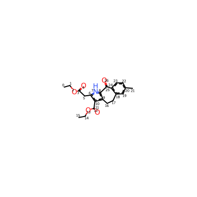 CCOC(=O)Cc1[nH]c2c(c1C(=O)OCC)CCc1cc(C)ccc1C2=O